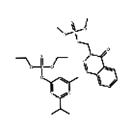 CCOP(=S)(OCC)Oc1cc(C)nc(C(C)C)n1.COP(=S)(OC)SCn1nnc2ccccc2c1=O